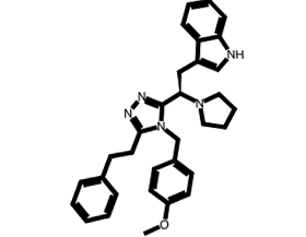 COc1ccc(Cn2c(CCc3ccccc3)nnc2[C@@H](Cc2c[nH]c3ccccc23)N2CCCC2)cc1